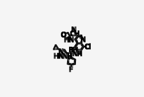 BC(Nc1cc(Cl)c2ncc(C#N)c(NC3(C)COC3)c2c1)(C1=CN(C2CC2)NN1)c1ccc(F)cc1